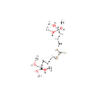 CCO[Si](CCCSC(=S)SCCC[Si](OCC)(OCC)OCC)(OCC)OCC